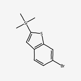 C[Si](C)(C)c1cc2ccc(Br)cc2s1